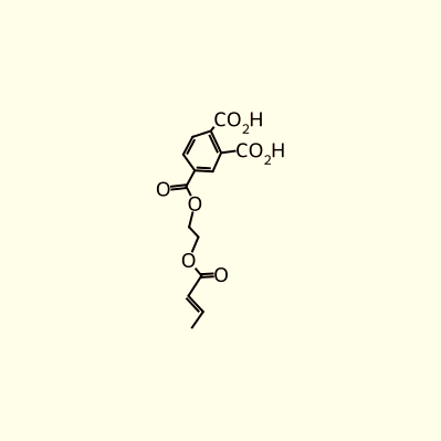 CC=CC(=O)OCCOC(=O)c1ccc(C(=O)O)c(C(=O)O)c1